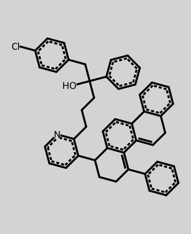 OC(CCCc1ncccc1C1CCC(c2ccccc2)=c2c1ccc1c2=CCc2ccccc2-1)(Cc1ccc(Cl)cc1)c1ccccc1